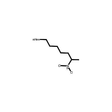 CCCCCCCCCCCC(C)[SiH](Cl)Cl